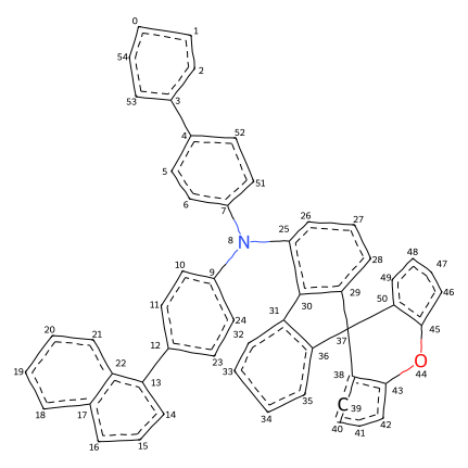 c1ccc(-c2ccc(N(c3ccc(-c4cccc5ccccc45)cc3)c3cccc4c3-c3ccccc3C43c4ccccc4Oc4ccccc43)cc2)cc1